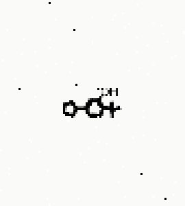 CC(C)(C)c1ccc(C2CCCC2)cc1O